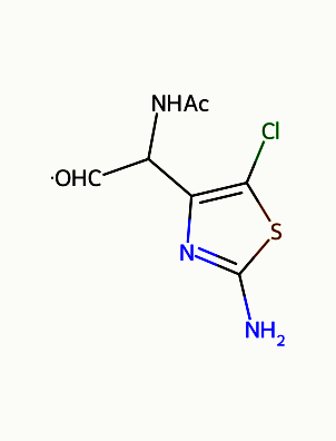 CC(=O)NC([C]=O)c1nc(N)sc1Cl